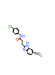 O=C(CCc1nc2ccc([N+](=O)[O-])cc2[nH]1)Nc1ccc(Cl)cc1